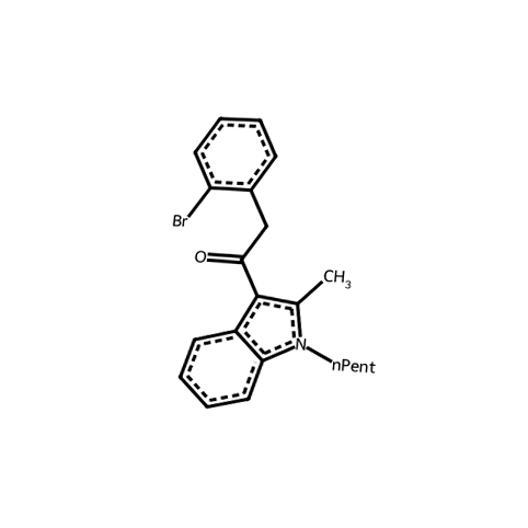 CCCCCn1c(C)c(C(=O)Cc2ccccc2Br)c2ccccc21